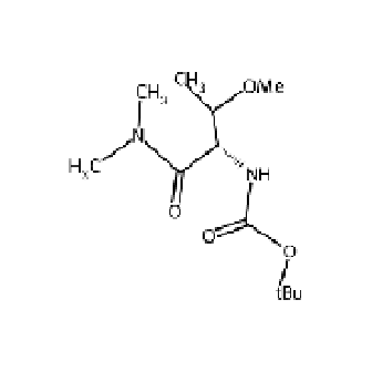 COC(C)[C@H](NC(=O)OC(C)(C)C)C(=O)N(C)C